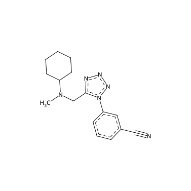 CN(Cc1nnnn1-c1cccc(C#N)c1)C1CCCCC1